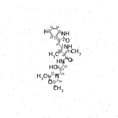 Cc1[nH]c(C=C2C(=O)Nc3ccc(F)cc32)c(C)c1C(=O)NCC(O)CN1C[C@@H](C)O[C@@H](C)C1